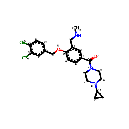 CNCc1cc(C(=O)N2CCN(C3CC3)CC2)ccc1OCc1ccc(Cl)c(Cl)c1